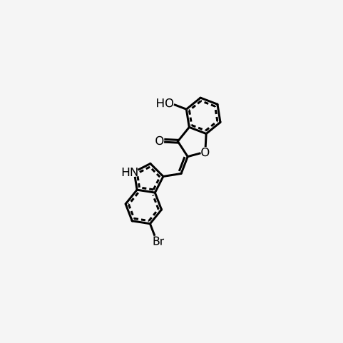 O=C1C(=Cc2c[nH]c3ccc(Br)cc23)Oc2cccc(O)c21